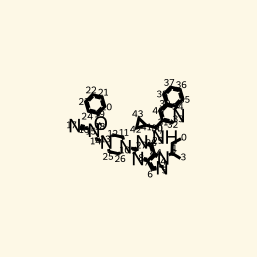 CCC(C)n1ncc2nc(N3CCN(CN(C#N)Oc4ccccc4)CC3)nc(N[C@@H](c3cnc4ccccc4c3)C3CC3)c21